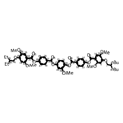 CCCCC(CCCC)COc1cc(OC)c(C(=O)Oc2ccc(C(=O)Oc3ccc(OC(=O)c4ccc(OC(=O)c5cc(OC)c(OCC(CC)CC)cc5OC)cc4)cc3OC)cc2)cc1OC